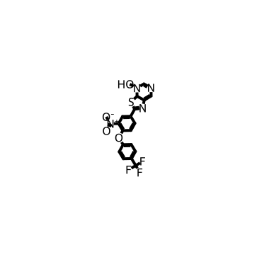 O=[N+]([O-])c1cc(C2=NC3=CN=CN(O)C3S2)ccc1Oc1ccc(C(F)(F)F)cc1